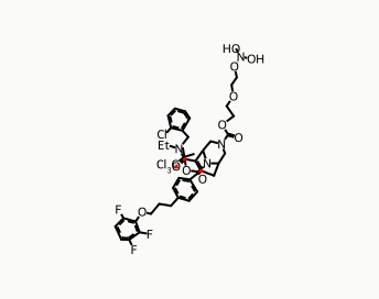 CCN(Cc1ccccc1Cl)C(=O)C1=C(c2ccc(CCCOc3c(F)ccc(F)c3F)cc2)CC2CN(C(=O)OCCOCCON(O)O)CC1N2C(=O)OC(C)(C)C(Cl)(Cl)Cl